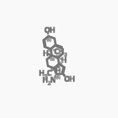 C[C@]12CC[C@H]3[C@@H](CC=C4C[C@@H](O)C=C[C@@]43C)[C@@H]1C=C(O)[C@@H]2N